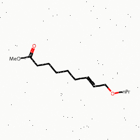 CCCOCC=CCCCCCC(=O)OC